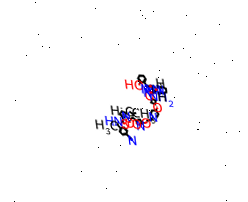 CC(C)[C@H](C(=O)N1C[CH]C[C@H]1C(=O)N[C@@H](C)c1ccc(C#N)cc1)c1cc(OCCN2CCC(O[C@H]3C[C@H](Oc4cc(N5[C@H]6CC[C@H]5CN(c5cc(-c7ccccc7O)nnc5N)C6)ccn4)C3)CC2)no1